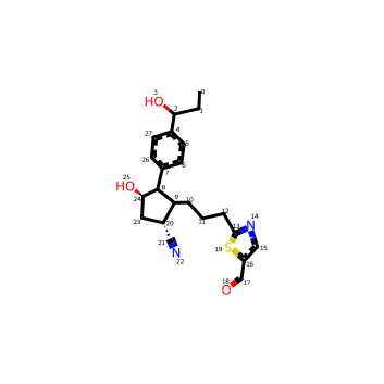 CCC(O)c1ccc(C2C(CCCc3ncc(C=O)s3)[C@H](C#N)C[C@H]2O)cc1